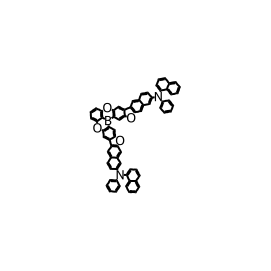 c1ccc(N(c2ccc3cc4c(cc3c2)oc2cc3c(cc24)Oc2cccc4c2B3c2cc3oc5cc6cc(N(c7ccccc7)c7cccc8ccccc78)ccc6cc5c3cc2O4)c2cccc3ccccc23)cc1